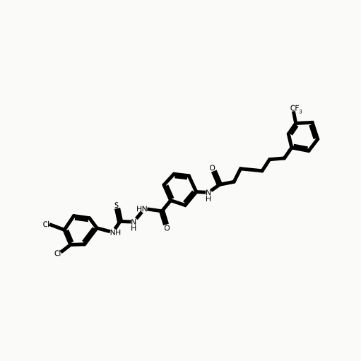 O=C(CCCCCc1cccc(C(F)(F)F)c1)Nc1cccc(C(=O)NNC(=S)Nc2ccc(Cl)c(Cl)c2)c1